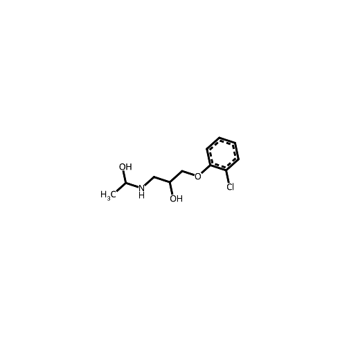 CC(O)NCC(O)COc1ccccc1Cl